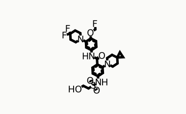 O=C(Nc1ccc(OCF)c(N2CCC(F)(F)CC2)c1)c1ccc(NS(=O)(=O)CCO)cc1N1CCC2(CC1)CC2